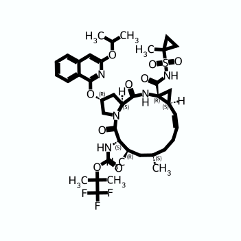 CC(C)Oc1cc2ccccc2c(O[C@@H]2C[C@H]3C(=O)N[C@]4(C(=O)NS(=O)(=O)C5(C)CC5)C[C@H]4C=CCC[C@H](C)C[C@@H](C)[C@H](NC(=O)OC(C)(C)C(F)(F)F)C(=O)N3C2)n1